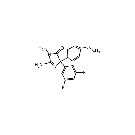 COc1ccc(C2(c3cc(F)cc(F)c3)N=C(N)N(C)C2=O)cc1